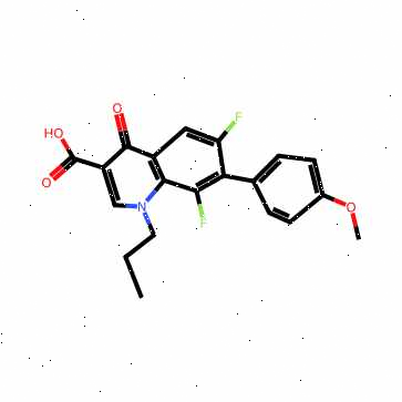 CCCn1cc(C(=O)O)c(=O)c2cc(F)c(-c3ccc(OC)cc3)c(F)c21